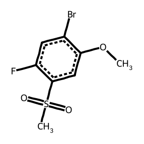 COc1cc(S(C)(=O)=O)c(F)cc1Br